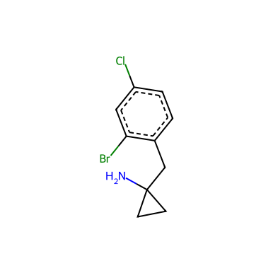 NC1(Cc2ccc(Cl)cc2Br)CC1